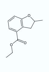 CCOC(=O)c1cccc2c1CC(C)O2